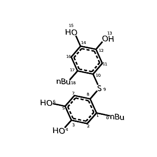 CCCCc1cc(O)c(O)cc1Sc1cc(O)c(O)cc1CCCC